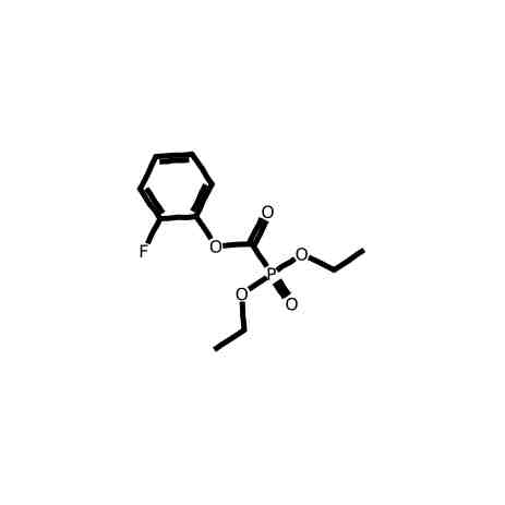 CCOP(=O)(OCC)C(=O)Oc1ccccc1F